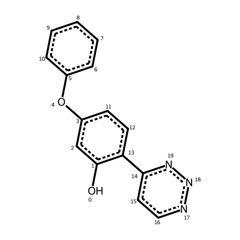 Oc1cc(Oc2ccccc2)ccc1-c1ccnnn1